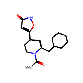 COC(=O)N1CCC(c2cc(=O)[nH]o2)CC1CC1CCCCC1